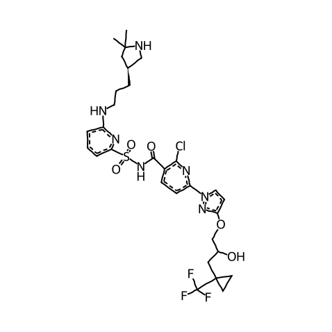 CC1(C)C[C@H](CCCNc2cccc(S(=O)(=O)NC(=O)c3ccc(-n4ccc(OCC(O)CC5(C(F)(F)F)CC5)n4)nc3Cl)n2)CN1